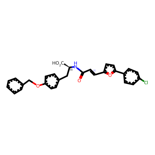 O=C(/C=C/c1ccc(-c2ccc(Cl)cc2)o1)N[C@@H](Cc1ccc(OCc2ccccc2)cc1)C(=O)O